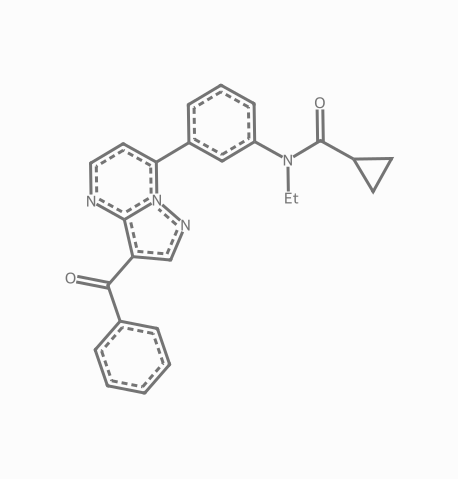 CCN(C(=O)C1CC1)c1cccc(-c2ccnc3c(C(=O)c4ccccc4)cnn23)c1